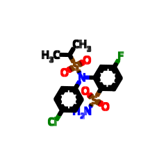 CC(C)S(=O)(=O)N(c1ccc(Cl)cc1)c1cc(F)ccc1S(N)(=O)=O